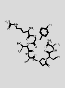 CC(C)C[C@H](C(=O)N[C@H](C)C(N)=O)N1C[C@H](NC(=O)[C@H](NC(=O)[C@H](NC(=O)[C@@H](Cc2ccc(O)cc2)NC(=O)[C@H](N)CCCNC(=N)N)[C@@H](C)O)C(C)C)CC1=O